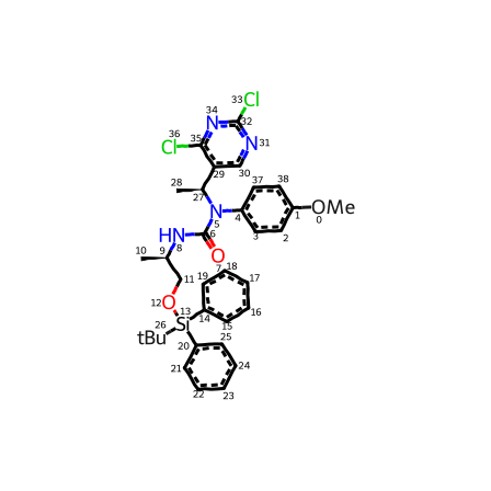 COc1ccc(N(C(=O)N[C@H](C)CO[Si](c2ccccc2)(c2ccccc2)C(C)(C)C)[C@@H](C)c2cnc(Cl)nc2Cl)cc1